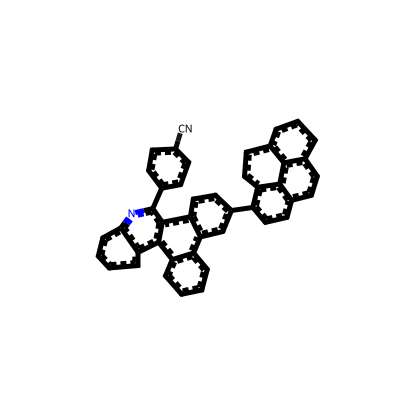 N#Cc1ccc(-c2nc3ccccc3c3c4ccccc4c4cc(-c5ccc6ccc7cccc8ccc5c6c78)ccc4c23)cc1